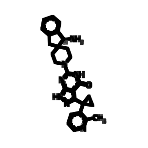 Cc1ncccc1C1(c2n[nH]c3nc(N4CCC5(CC4)Cc4ccccc4[C@H]5N)[nH]c(=O)c23)CC1